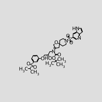 CC(C)S(=O)(=O)c1cccc(OC[C@@H](O)CN(C(=O)OC(C)(C)C)[C@H]2COC3(CCN(S(=O)(=O)c4cnc5cc[nH]c5c4)CC3)C2)c1